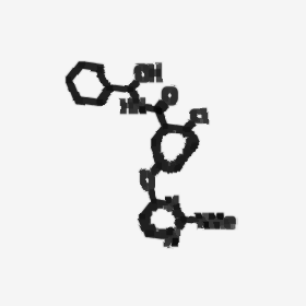 CNc1nccc(Oc2ccc(Cl)c(C(=O)NC(O)C3CCCCC3)c2)n1